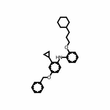 c1ccc(COc2ccc(Nc3ccccc3OCCCC3CCCCC3)c(C3CC3)c2)cc1